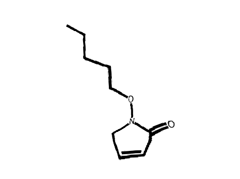 CCCCCON1CC=CC1=O